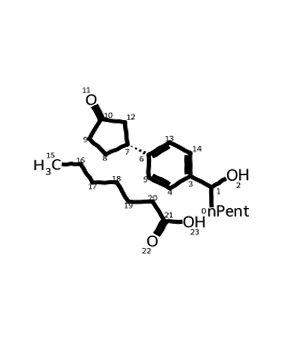 CCCCCC(O)c1ccc([C@@H]2CCC(=O)C2)cc1.CCCCCCC(=O)O